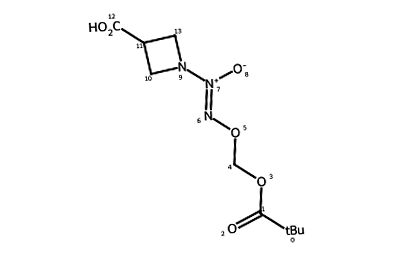 CC(C)(C)C(=O)OCON=[N+]([O-])N1CC(C(=O)O)C1